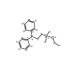 CCO[Si](C)(C)CCP(c1ccccc1)c1ccccc1